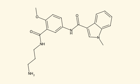 COc1ccc(NC(=O)c2cn(C)c3ccccc23)cc1C(=O)NCCCN